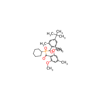 COc1cc(C)cc(OC)c1C(=O)P(=O)(C(=O)c1c(C)cc(C(C)(C)C)cc1C)C1CCCCC1